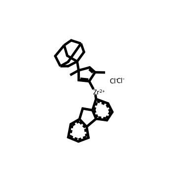 CC1=CC(C)(C23CC4CC(CC(C4)C2)C3)C=[C]1[Zr+2][c]1cccc2c1Cc1ccccc1-2.[Cl-].[Cl-]